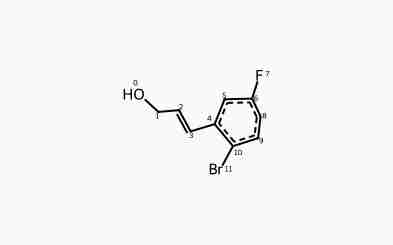 OC/C=C/c1cc(F)ccc1Br